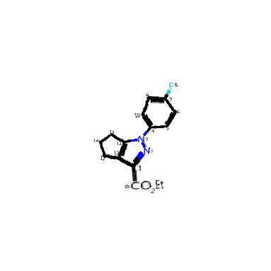 CCOC(=O)c1nn(-c2ccc(F)cc2)c2c1CCC2